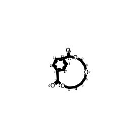 O=C1OCCCCOCCOC(=O)c2ccc1cc2